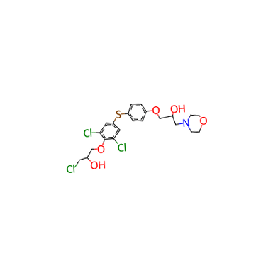 OC(CCl)COc1c(Cl)cc(Sc2ccc(OCC(O)CN3CCOCC3)cc2)cc1Cl